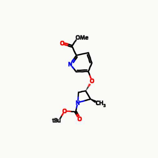 COC(=O)c1ccc(O[C@H]2CN(C(=O)OC(C)(C)C)[C@@H]2C)cn1